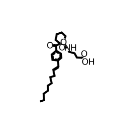 CCCCCCCCC=Cc1ccc(C(=O)C2(ONCCCC(=O)O)CCCCO2)cc1